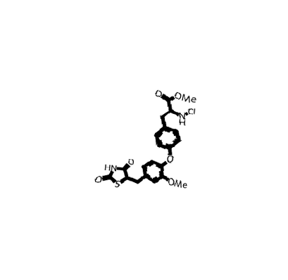 COC(=O)[C@H](Cc1ccc(Oc2ccc(CC3SC(=O)NC3=O)cc2OC)cc1)NCl